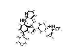 O=C([C@H]1CC[C@H](NC(C2CC2)C(F)(F)F)CC1)N1Cc2cccnc2Nc2ccc(N3CCOCC3)cc21